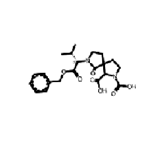 CC(C)[C@@H](C(=O)OCc1ccccc1)N1CCC2(CCN(C(=O)O)C2C(=O)O)C1=O